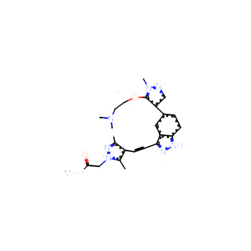 COC(=O)Cn1nc2c(c1C)/C=C/c1n[nH]c3ccc(cc13)-c1cnn(C)c1O[C@@H](C)CN(C)C2